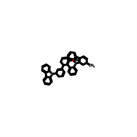 CC1C=Cc2c(n(-c3ccccc3C3=C(C#N)C=CCC3C3=CC(n4c5ccccc5c5ccccc54)CC=C3)c3ccccc23)C1